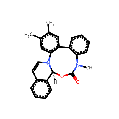 Cc1cc2c(cc1C)N1C=Cc3ccccc3[C@@H]1OC(=O)N(C)c1ccccc1-2